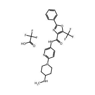 CNC1CCN(c2ccc(NC(=O)c3nc(-c4ccccc4)oc3C(F)(F)F)cn2)CC1.O=C(O)C(F)(F)F